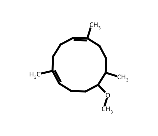 COC1CC/C=C(/C)CC/C=C(/C)CCC1C